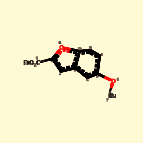 CCOC(=O)c1cc2cc(O[C@H](C)CC)ccc2o1